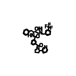 O=C(N[C@@H](Cc1ccccc1)[C@H](O)CNCc1cccc(C(F)(F)F)c1)c1cccc(C(=O)N2CCCC2c2cccnc2)c1